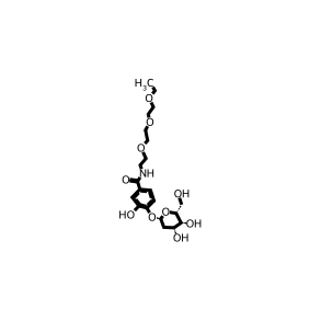 CCOCCOCCOCCNC(=O)c1ccc(O[C@H]2C[C@@H](O)[C@@H](O)[C@@H](CO)O2)c(O)c1